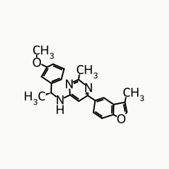 COc1cccc([C@H](C)Nc2cc(-c3ccc4occ(C)c4c3)nc(C)n2)c1